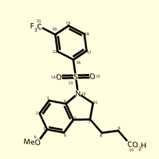 COc1ccc2c(c1)C(CCC(=O)O)CN2S(=O)(=O)c1cccc(C(F)(F)F)c1